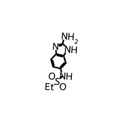 CCS(=O)(=O)Nc1ccc2nc(N)[nH]c2c1